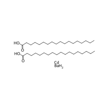 CCCCCCCCCCCCCCCCCC(=O)O.CCCCCCCCCCCCCCCCCC(=O)O.[BaH2].[Cd]